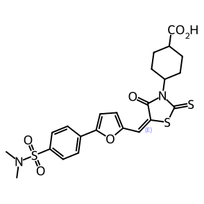 CN(C)S(=O)(=O)c1ccc(-c2ccc(/C=C3/SC(=S)N(C4CCC(C(=O)O)CC4)C3=O)o2)cc1